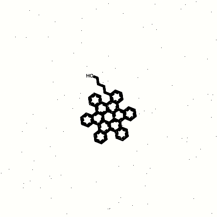 OCCCCc1cccc2c1c1c3ccccc3c3c4ccccc4c4c5ccccc5c5c6ccccc6c6c7ccccc7c2c2c6c5c4c3c12